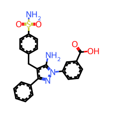 Nc1c(Cc2ccc(S(N)(=O)=O)cc2)c(-c2ccccc2)nn1-c1cccc(C(=O)O)c1